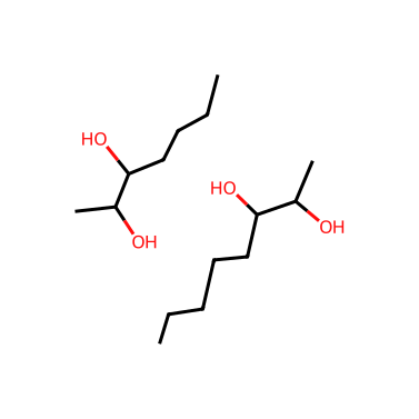 CCCCC(O)C(C)O.CCCCCC(O)C(C)O